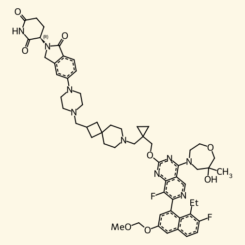 CCc1c(F)ccc2cc(OCOC)cc(-c3ncc4c(N5CCOCC(C)(O)C5)nc(OCC5(CN6CCC7(CC6)CC(CN6CCN(c8ccc9c(c8)CN([C@@H]8CCC(=O)NC8=O)C9=O)CC6)C7)CC5)nc4c3F)c12